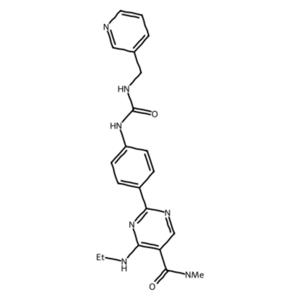 CCNc1nc(-c2ccc(NC(=O)NCc3cccnc3)cc2)ncc1C(=O)NC